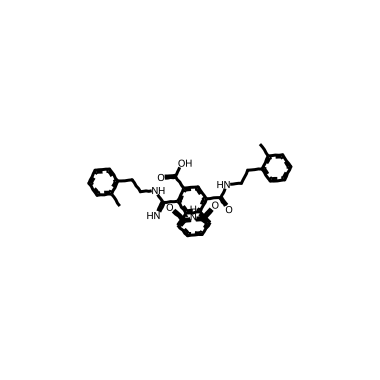 Cc1ccccc1CCNC(=N)c1c(C(=O)O)cc(C(=O)NCCc2ccccc2C)c2c3ccc(c(=O)[nH]c3=O)c12